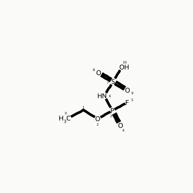 CCOP(=O)(F)NS(=O)(=O)O